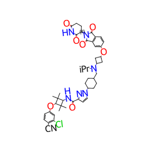 CC(C)N(CC1CCC(n2ccc(C(=O)NC3C(C)(C)C(Oc4ccc(C#N)c(Cl)c4)C3(C)C)n2)CC1)C1CC(Oc2ccc3c(c2)C(=O)N([C@@H]2CCC(=O)NC2=O)C3=O)C1